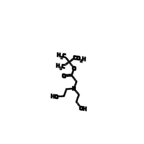 CC(C)(OC(=O)CN(CCO)CCO)C(=O)O